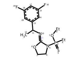 CCOP(=S)(CC)N1CCO/C1=N\C(C)c1cc(F)cc(F)c1